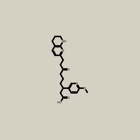 COc1ccc(C(CCCC(=O)CCc2ccc3c(n2)NCCC3)CC(=O)O)cn1